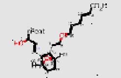 CCCCCC(O)/C=C/[C@@H]1[C@H](CCOCCCCCC(=O)O)[C@@H]2CC[C@H]1O2